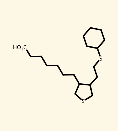 O=C(O)CCCCCCC1CSCC1CCSC1CCCCC1